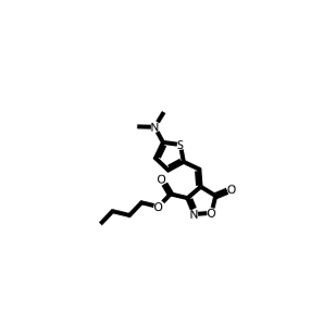 CCCCOC(=O)C1=NOC(=O)/C1=C/c1ccc(N(C)C)s1